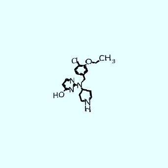 CCOc1cc(CN(c2nccc(O)n2)C2CCNCC2)ccc1Cl